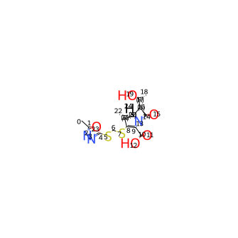 Cc1nnc(SCSC2=C(C(=O)O)N3C(=O)[C@H]([C@@H](C)O)[C@H]3[C@H]2C)o1